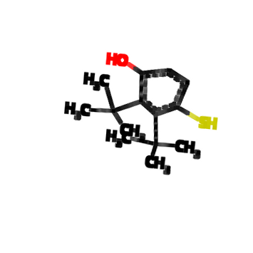 CC(C)(C)c1c(O)ccc(S)c1C(C)(C)C